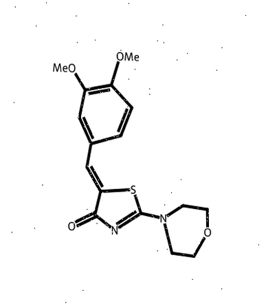 COc1ccc(/C=C2\SC(N3CCOCC3)=NC2=O)cc1OC